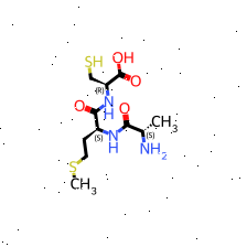 CSCC[C@H](NC(=O)[C@H](C)N)C(=O)N[C@@H](CS)C(=O)O